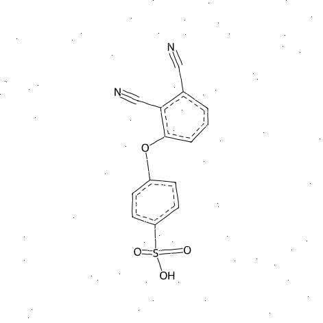 N#Cc1cccc(Oc2ccc(S(=O)(=O)O)cc2)c1C#N